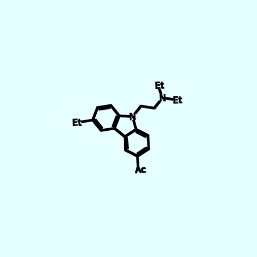 CCc1ccc2c(c1)c1cc(C(C)=O)ccc1n2CCN(CC)CC